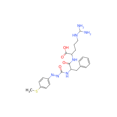 CSc1ccc(/N=N/C(=O)NC(Cc2ccccc2)C(=O)NC(CCCNC(N)N)C(=O)O)cc1